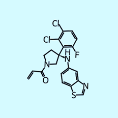 C=CC(=O)N1CC[C@](Nc2ccc3scnc3c2)(c2c(F)ccc(Cl)c2Cl)C1